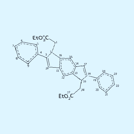 CCOC(=O)CC1C(c2ccccc2)=Cc2cc3c(cc21)C=C(c1ccccc1)C3CC(=O)OCC